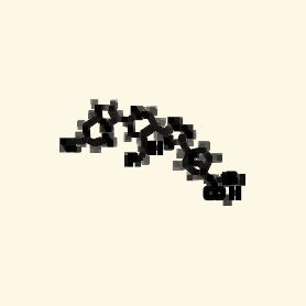 CC(C)Nc1cc(-c2ccc3cc(C#N)cnn23)ncc1-c1nnc(C23CCC(N(C(=O)O)C(C)(C)C)(CC2)CC3)s1